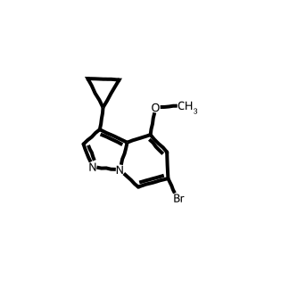 COc1cc(Br)cn2ncc(C3CC3)c12